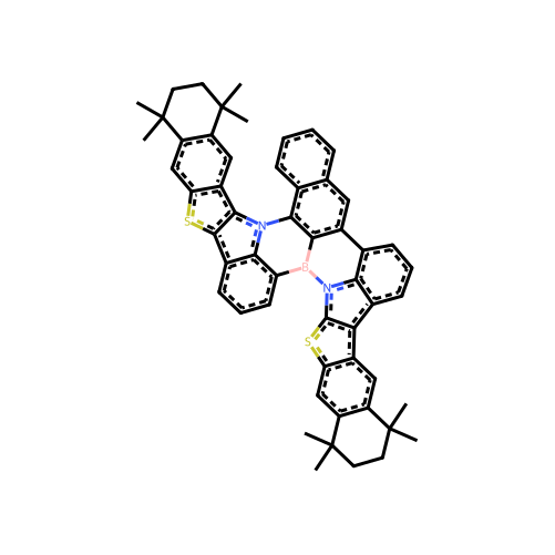 CC1(C)CCC(C)(C)c2cc3c(cc21)sc1c3c2cccc3c2n1B1c2c-3cc3ccccc3c2-n2c3c1cccc3c1sc3cc4c(cc3c12)C(C)(C)CCC4(C)C